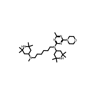 Cc1nc(N2CCOCC2)nc(N(CCCCCCN(C)C2CC(C)(C)NC(C)(C)C2)C2CC(C)(C)NC(C)(C)C2)n1